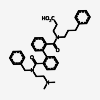 CN(C)CCN(Cc1ccccc1)C(=O)c1ccccc1-c1ccccc1C(=O)N(CCCc1ccccc1)CCC(=O)O